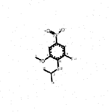 COc1cc([N+](=O)[O-])cc(F)c1SC(C)C